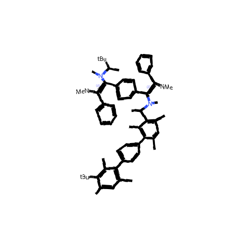 CN/C(=C(/c1ccc(/C(=C(/NC)c2ccccc2)N(C)C(C)C(C)(C)C)cc1)N(C)C(C)c1c(C)cc(C)c(-c2ccc(-c3c(C)cc(C)c(C(C)(C)C)c3C)cc2)c1C)c1ccccc1